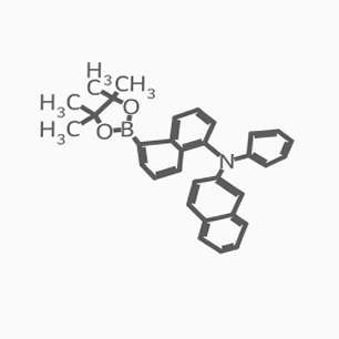 CC1(C)OB(c2cccc3c(N(c4ccccc4)c4ccc5ccccc5c4)cccc23)OC1(C)C